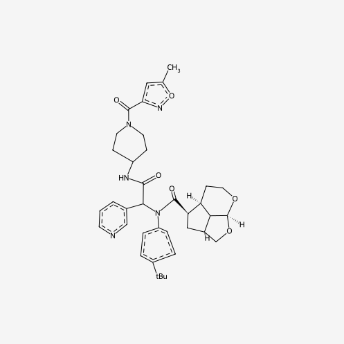 Cc1cc(C(=O)N2CCC(NC(=O)C(c3cccnc3)N(C(=O)[C@@H]3C[C@@H]4CO[C@@H]5OCC[C@H]3C45)c3ccc(C(C)(C)C)cc3)CC2)no1